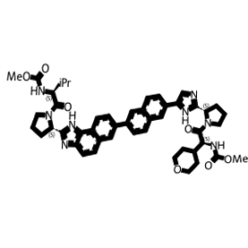 COC(=O)N[C@H](C(=O)N1CCC[C@H]1c1nc2ccc3cc(-c4ccc5cc(-c6cnc([C@@H]7CCCN7C(=O)[C@@H](NC(=O)OC)C7CCOCC7)[nH]6)ccc5c4)ccc3c2[nH]1)C(C)C